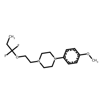 CCC(F)(F)OCCN1CCN(c2ccc(OC)cc2)CC1